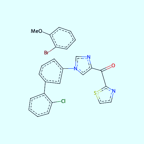 COc1ccccc1Br.O=C(c1cn(-c2cccc(-c3ccccc3Cl)c2)cn1)c1nccs1